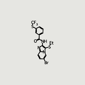 CCSc1c(NC(=O)c2cccc(SC(F)(F)F)c2)nc2ccc(Br)cn12